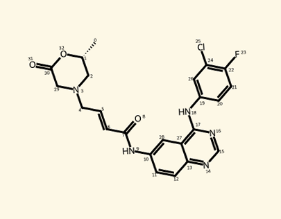 C[C@@H]1CN(C/C=C/C(=O)Nc2ccc3ncnc(Nc4ccc(F)c(Cl)c4)c3c2)CC(=O)O1